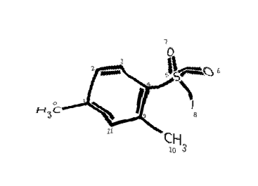 Cc1ccc(S(=O)(=O)I)c(C)c1